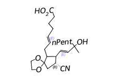 CCCCCC(C)(O)/C=C/C1C(C/C=C/CCCC(=O)O)C2(C[C@H]1C#N)OCCO2